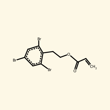 C=CC(=O)OCCc1c(Br)cc(Br)cc1Br